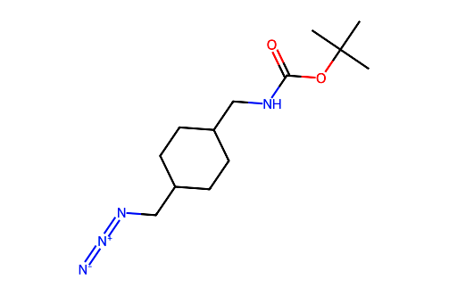 CC(C)(C)OC(=O)NCC1CCC(CN=[N+]=[N-])CC1